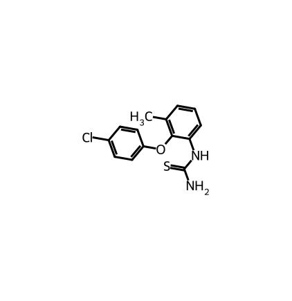 Cc1cccc(NC(N)=S)c1Oc1ccc(Cl)cc1